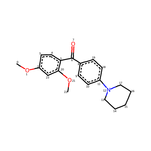 COc1ccc(C(=O)c2ccc(N3CCCCC3)cc2)c(OC)c1